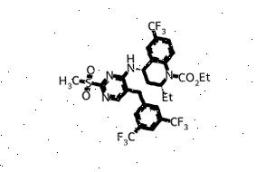 CCOC(=O)N1c2ccc(C(F)(F)F)cc2[C@@H](Nc2nc(S(C)(=O)=O)ncc2Cc2cc(C(F)(F)F)cc(C(F)(F)F)c2)C[C@H]1CC